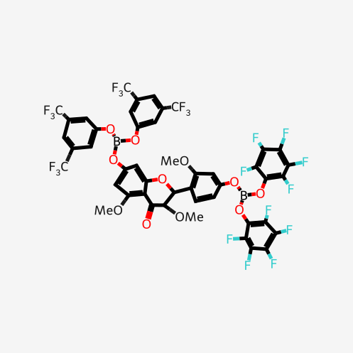 COc1cc(OB(Oc2c(F)c(F)c(F)c(F)c2F)Oc2c(F)c(F)c(F)c(F)c2F)ccc1C1Oc2cc(OB(Oc3cc(C(F)(F)F)cc(C(F)(F)F)c3)Oc3cc(C(F)(F)F)cc(C(F)(F)F)c3)cc(OC)c2C(=O)C1OC